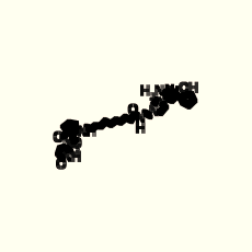 Nc1nnc(-c2ccccc2O)cc1N1CCN(CCNC(=O)CCCCCCCCCCNc2cccc3c2C(=O)N(C2CCC(=O)NC2=O)C3=O)CC1